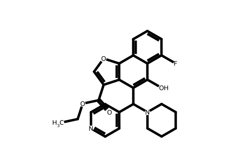 CCOC(=O)c1coc2c1c(C(c1ccncc1)N1CCCCC1)c(O)c1c(F)cccc12